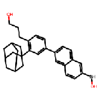 OBc1ccc2cc(-c3ccc(CCCO)c(C45CC6CC(CC(C6)C4)C5)c3)ccc2c1